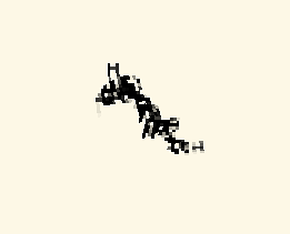 COc1cc2c(Oc3ccc(NC(=O)C4(C(=O)Nc5ccc(F)cc5)CC4)cc3F)ccnc2cc1OCC1CCNCC1